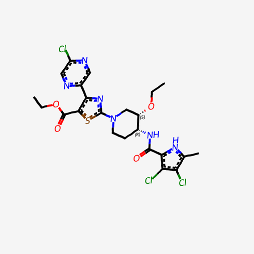 CCOC(=O)c1sc(N2CC[C@@H](NC(=O)c3[nH]c(C)c(Cl)c3Cl)[C@@H](OCC)C2)nc1-c1cnc(Cl)cn1